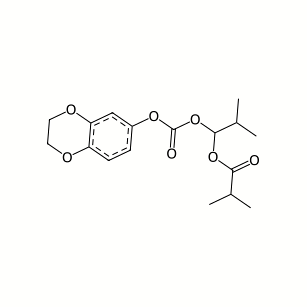 CC(C)C(=O)OC(OC(=O)Oc1ccc2c(c1)OCCO2)C(C)C